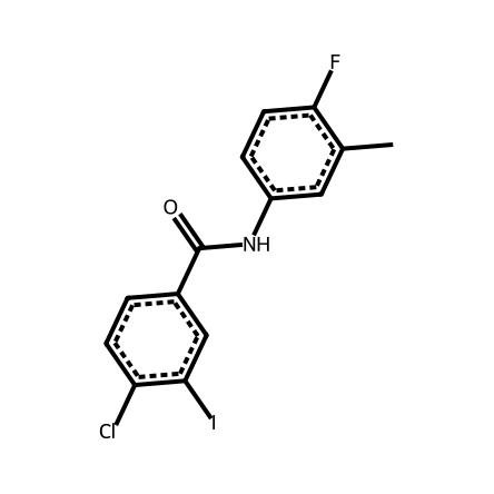 Cc1cc(NC(=O)c2ccc(Cl)c(I)c2)ccc1F